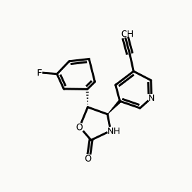 C#Cc1cncc([C@H]2NC(=O)O[C@@H]2c2cccc(F)c2)c1